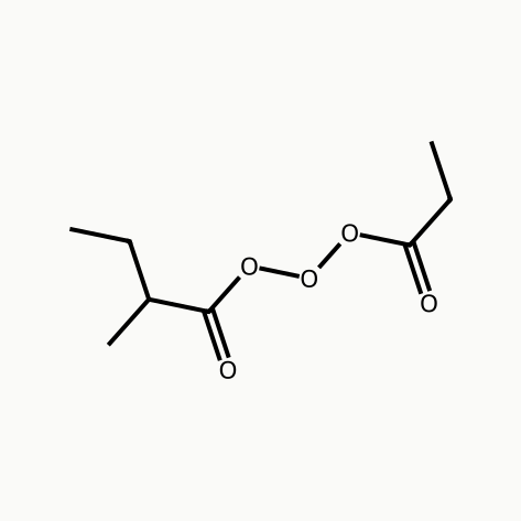 CCC(=O)OOOC(=O)C(C)CC